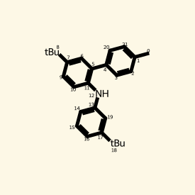 Cc1ccc(-c2cc(C(C)(C)C)ccc2Nc2cccc(C(C)(C)C)c2)cc1